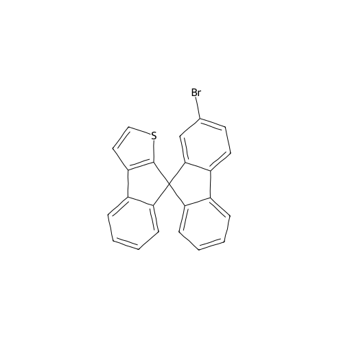 Brc1ccc2c(c1)C1(c3ccccc3-2)c2ccccc2-c2ccsc21